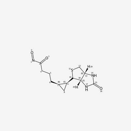 O=NC(=O)CCC[C@@H]1C[C@@H]1C1SC[C@@H]2NC(=O)N[C@H]12